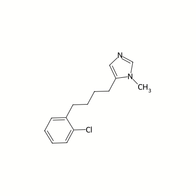 Cn1cncc1CCCCc1ccccc1Cl